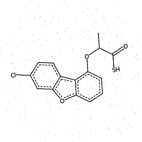 CC(Oc1cccc2oc3cc(Cl)ccc3c12)C(=O)S